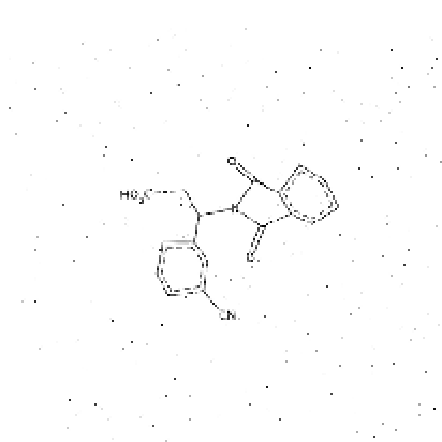 N#Cc1cccc(C(CC(=O)O)N2C(=O)c3ccccc3C2=O)c1